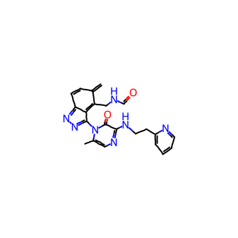 C=c1ccc2c(c1CNC=O)C(n1c(C)cnc(NCCc3ccccn3)c1=O)=NN=2